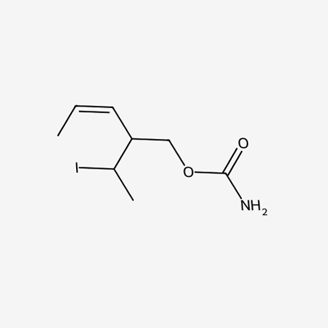 C/C=C\C(COC(N)=O)C(C)I